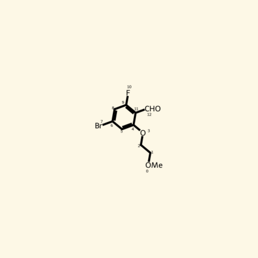 COCCOc1cc(Br)cc(F)c1C=O